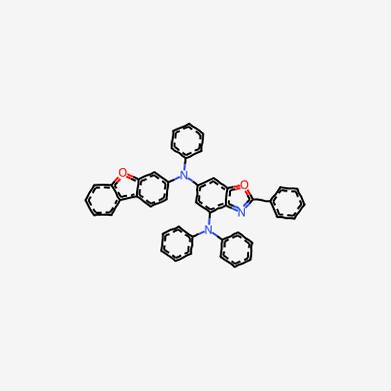 c1ccc(-c2nc3c(N(c4ccccc4)c4ccccc4)cc(N(c4ccccc4)c4ccc5c(c4)oc4ccccc45)cc3o2)cc1